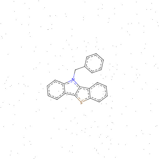 c1ccc(Cn2c3ccccc3c3sc4ccccc4c32)cc1